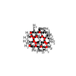 PP(P)P(P(P)P)P(P(P(P)P)P(P)P)P(P(P(P(P)P)P(P)P)P(P(P)P)P(P)P)P(P(P(P(P)P)P(P)P)P(P(P)P)P(P)P)P(P(P(P)P)P(P)P)P(P(P)P)P(P)P